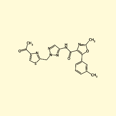 CC(=O)c1csc(Cn2ncc(NC(=O)c3nc(C)oc3-c3cccc(C)c3)n2)n1